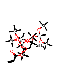 C=CC(=O)OC(CC([SiH3])(O[Si](C)(O[Si](C)(C)C)O[Si](C)(C)C)O[Si](C)(O[Si](C)(C)C)O[Si](C)(C)C)O[Si](C)(O[Si](C)(C)C)O[Si](C)(C)C